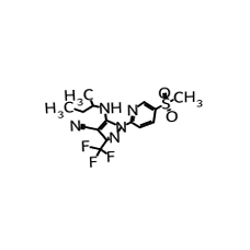 CCC(C)Nc1c(C#N)c(C(F)(F)F)nn1-c1ccc(S(C)(=O)=O)cn1